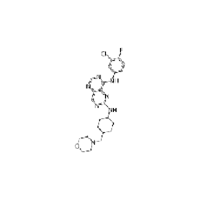 Fc1ccc(Nc2ncnc3cnc(NC4CCC(CN5CCOCC5)CC4)nc23)cc1Cl